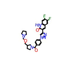 O=C(c1ccc(-n2cc(-c3cc4cc(F)c(F)cc4[nH]c3=O)nn2)cc1)N1CCC(COCN2CCCC2)C1